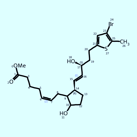 COC(=O)CCC/C=C\CC1C(O)CC[C@@H]1/C=C/[C@@H](O)CCc1cc(Br)c(C)s1